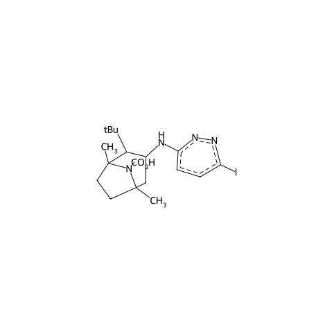 CC(C)(C)C1C(Nc2ccc(I)nn2)CC2(C)CCC1(C)N2C(=O)O